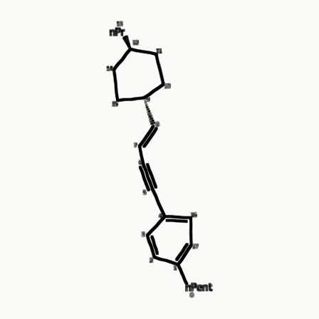 CCCCCc1ccc(C#C/C=C/[C@H]2CC[C@H](CCC)CC2)cc1